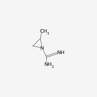 CC1CN1C(=N)N